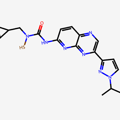 CC(C)n1ccc(-c2cnc3ccc(NC(=O)N(S)CC4CC4)nc3n2)n1